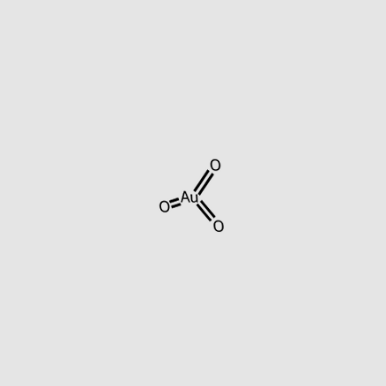 [O]=[Au](=[O])=[O]